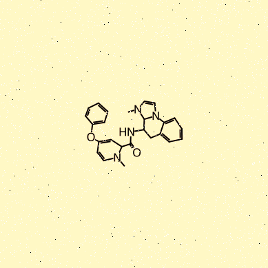 CN1C=CC(Oc2ccccc2)=CC1C(=O)NC1Cc2ccccc2N2C=CN(C)C12